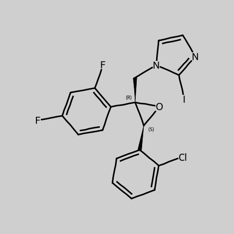 Fc1ccc([C@]2(Cn3ccnc3I)O[C@H]2c2ccccc2Cl)c(F)c1